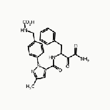 Cc1cc(C(=O)NC(Cc2ccccc2)C(=O)C(N)=O)n(-c2ccc(CNC(=O)O)cc2)n1